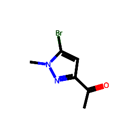 CC(=O)c1cc(Br)n(C)n1